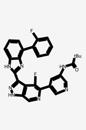 CC(C)(C)C(=O)Nc1cncc(-c2ncc3[nH]nc(-c4nc5c(-c6ccccc6F)cccc5[nH]4)c3c2F)c1